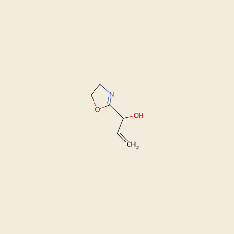 C=CC(O)C1=NCCO1